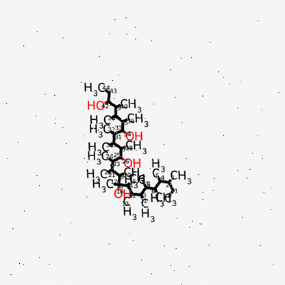 CCC(C)C(C)C(C)C(C)C(C)C(C)C(C)C(C)(O)C(C)C(C)C(C)C(O)C(C)C(C)C(C)C(O)C(C)C(C)C(C)C(O)CC